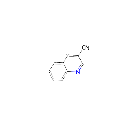 N#Cc1[c]c2ccccc2nc1